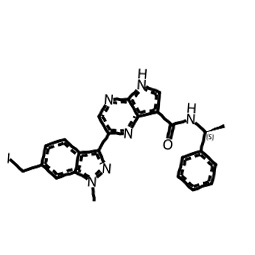 C[C@H](NC(=O)c1c[nH]c2ncc(-c3nn(C)c4cc(CI)ccc34)nc12)c1ccccc1